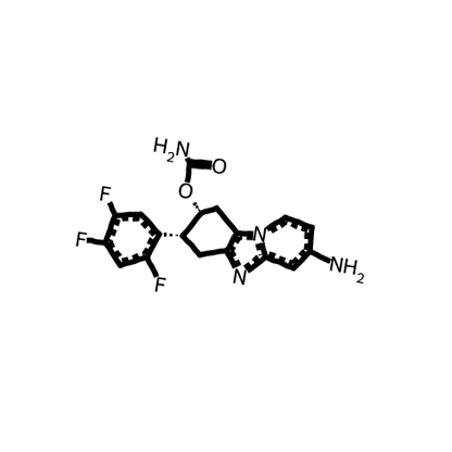 NC(=O)O[C@@H]1Cc2c(nc3cc(N)ccn23)C[C@@H]1c1cc(F)c(F)cc1F